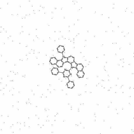 c1ccc(-c2nc(-c3ccccc3)nc(-n3c4c5ccccc5ccc4c4ccc5c(c6ccc7ccccc7c6n5-c5ccccc5)c43)n2)cc1